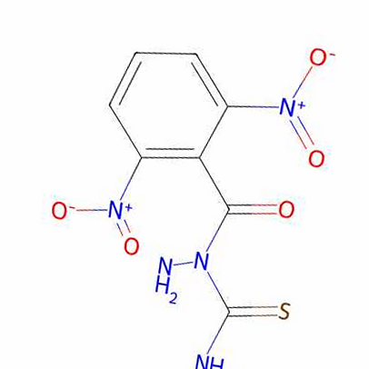 NC(=S)N(N)C(=O)c1c([N+](=O)[O-])cccc1[N+](=O)[O-]